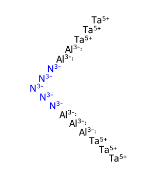 [Al-3].[Al-3].[Al-3].[Al-3].[Al-3].[N-3].[N-3].[N-3].[N-3].[N-3].[Ta+5].[Ta+5].[Ta+5].[Ta+5].[Ta+5].[Ta+5]